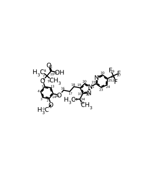 COc1ccc(OC(C)(C)C(=O)O)cc1OCCCc1cn(-c2ccc(C(F)(F)F)cn2)nc1C(C)C